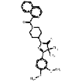 COc1ccc(C2=NN(C3CCN(C(=O)c4nccc5ccccc45)CC3)C(=O)C2(C)C)cc1OC